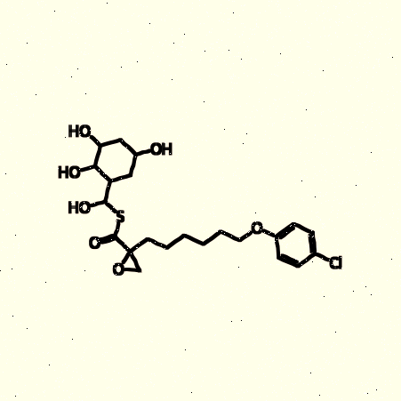 O=C(SC(O)C1CC(O)CC(O)C1O)C1(CCCCCCOc2ccc(Cl)cc2)CO1